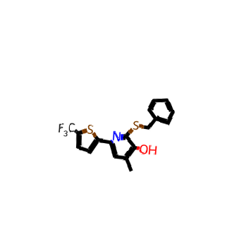 Cc1cc(-c2ccc(C(F)(F)F)s2)nc(SCc2ccccc2)c1O